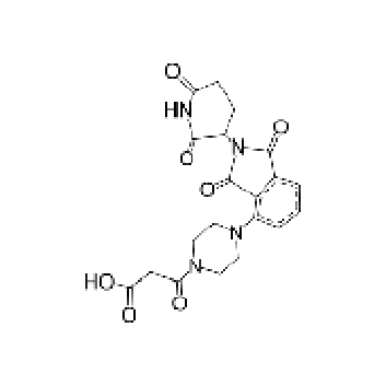 O=C(O)CC(=O)N1CCN(c2cccc3c2C(=O)N(C2CCC(=O)NC2=O)C3=O)CC1